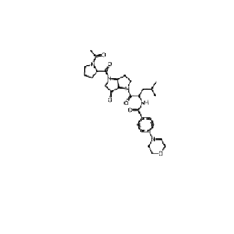 CC(=O)N1CCCC1C(=O)N1CC(=O)C2C1CCN2C(=O)C(CC(C)C)NC(=O)c1ccc(N2CCOCC2)cc1